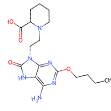 CCCCOc1nc(N)c2[nH]c(=O)n(CCN3CCCCC3C(=O)O)c2n1